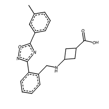 Cc1cccc(-c2nc(-c3ccccc3CNC3CC(C(=O)O)C3)no2)c1